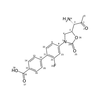 CC(=O)[C@@H](N)C1CN(c2ccc(-c3ccc(C(=O)O)cc3)c(F)c2)C(=O)O1